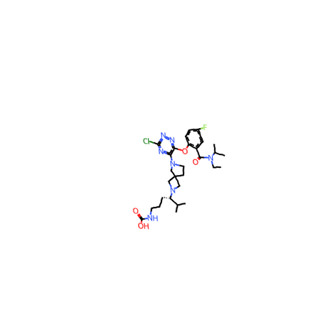 CCN(C(=O)c1cc(F)ccc1Oc1nnc(Cl)nc1N1CCC2(C1)CN([C@@H](CCCNC(=O)O)C(C)C)C2)C(C)C